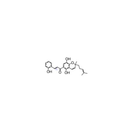 CC(C)=CCCC1(C)C=Cc2c(O)c(C(=O)/C=C/c3ccccc3O)cc(O)c2O1